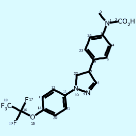 CN(C(=O)O)c1ccc(C2C=NN(c3ccc(OC(F)(F)C(F)(F)F)cc3)C2)cc1